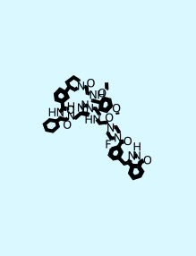 CCOc1cc(OC)ccc1CNCC(=O)N1CCCC(c2cccc(C(=O)N[C@@H](C(=O)NCc3cn(CCNCC(=O)N4CCN(C(=O)c5cc(Cc6n[nH]c(=O)c7ccccc67)ccc5F)CC4)nn3)C3CCCCC3)c2)C1